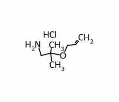 C=CCOC(C)(C)CN.Cl